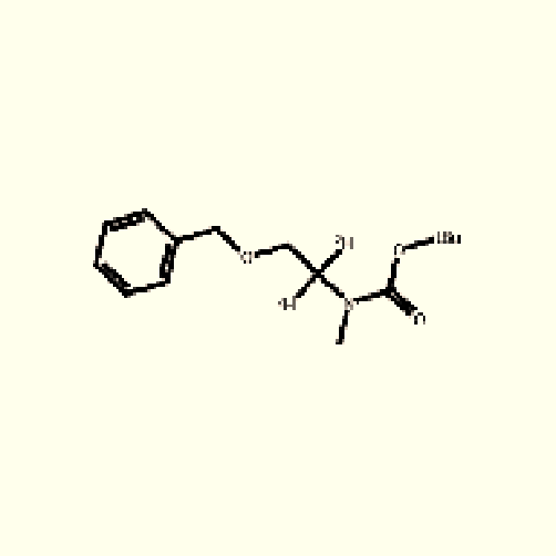 [2H]C([2H])(COCc1ccccc1)N(C)C(=O)OC(C)(C)C